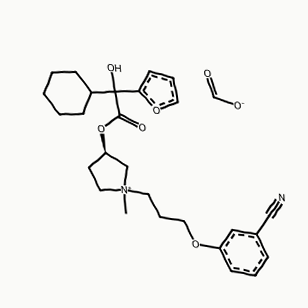 C[N+]1(CCCOc2cccc(C#N)c2)CC[C@@H](OC(=O)C(O)(c2ccco2)C2CCCCC2)C1.O=C[O-]